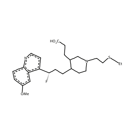 CCSCCN1CCC(CC[C@H](F)c2ccnc3ccc(OC)cc23)C(CCC(=O)O)C1